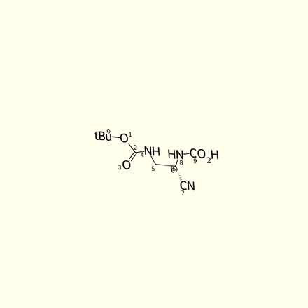 CC(C)(C)OC(=O)NC[C@@H](C#N)NC(=O)O